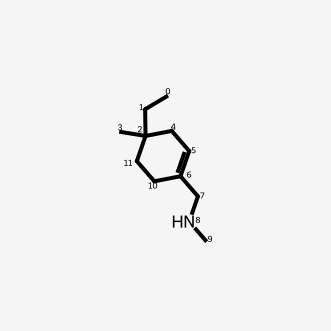 CCC1(C)CC=C(CNC)CC1